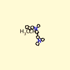 CC1(C)C2=CC(N(c3ccccc3)C3C=CC(c4ccc5c(c4)c4ccccc4n5-c4ccccc4)=CC3)=CCC2c2ccccc21